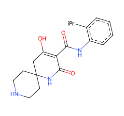 CC(C)c1ccccc1NC(=O)C1=C(O)CC2(CCNCC2)NC1=O